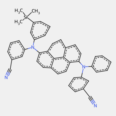 C[Si](C)(C)c1cccc(N(c2cccc(C#N)c2)c2ccc3ccc4c(N(c5ccccc5)c5cccc(C#N)c5)ccc5ccc2c3c54)c1